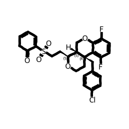 O=C1CC=CC=C1S(=O)(=O)CC[C@@H]1OCC[C@@]2(Cc3ccc(Cl)cc3)c3c(F)ccc(F)c3OC[C@@H]12